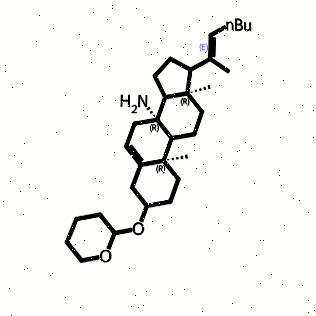 CCCC/C=C(\C)C1CCC2[C@]1(C)CCC1[C@@]2(N)CC=C2CC(OC3CCCCO3)CC[C@@]21C